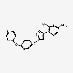 Nc1ccc(-c2cc(Cc3ccc(Oc4ccc(F)cc4)nc3)no2)c(N)n1